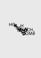 COc1cccc(F)c1-c1cc(C)ncc1C(=O)Nc1nnc(OCC23CC2(O)C3)s1